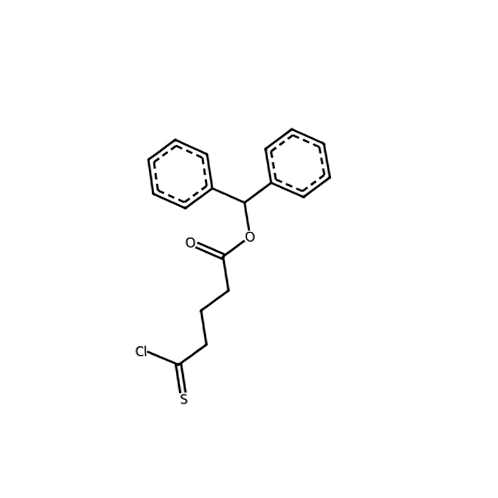 O=C(CCCC(=S)Cl)OC(c1ccccc1)c1ccccc1